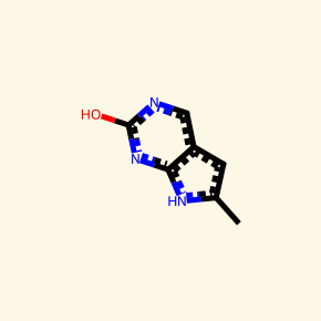 Cc1cc2cnc(O)nc2[nH]1